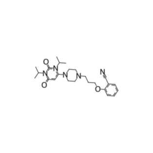 CC(C)n1c(N2CCN(CCCOc3ccccc3C#N)CC2)cc(=O)n(C(C)C)c1=O